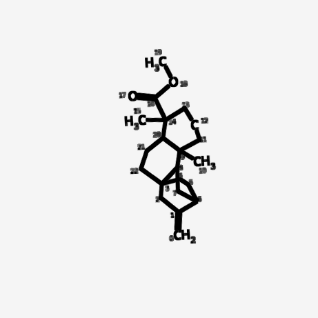 C=C1CC23CCC1CC2C1(C)CCCC(C)(C(=O)OC)C1CC3